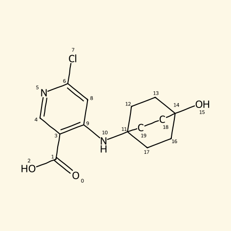 O=C(O)c1cnc(Cl)cc1NC12CCC(O)(CC1)CC2